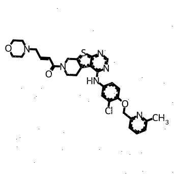 Cc1cccc(COc2ccc(Nc3ncnc4sc5c(c34)CCN(C(=O)C=CCN3CCOCC3)C5)cc2Cl)n1